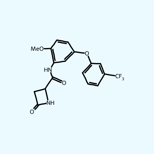 COc1ccc(Oc2cccc(C(F)(F)F)c2)cc1NC(=O)C1CC(=O)N1